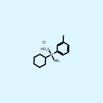 CCCC[N+](c1cccc(C)c1)(C1CCCCC1)S(=O)(=O)O.[Cl-]